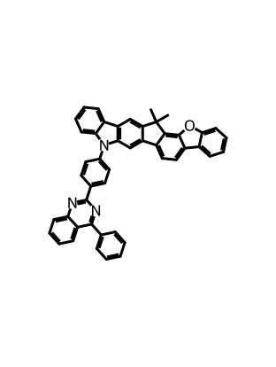 CC1(C)c2cc3c4ccccc4n(-c4ccc(-c5nc(-c6ccccc6)c6ccccc6n5)cc4)c3cc2-c2ccc3c(oc4ccccc43)c21